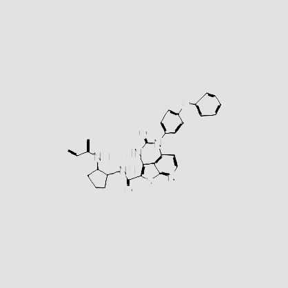 C=CC(=C)NC1CCCC1NC(=O)c1sc2nccc3c2c1NC(=O)N3c1ccc(Oc2ccccc2)cc1